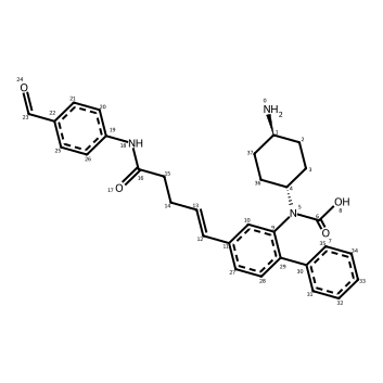 N[C@H]1CC[C@H](N(C(=O)O)c2cc(C=CCCC(=O)Nc3ccc(C=O)cc3)ccc2-c2ccccc2)CC1